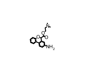 CN(C)CCOC(=O)C1Oc2ccccc2-c2ccc(N)cc21